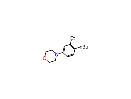 CCCCc1ccc(N2CCOCC2)cc1CC